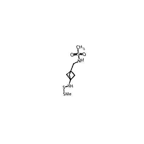 CSSNC12CC(CNS(C)(=O)=O)(C1)C2